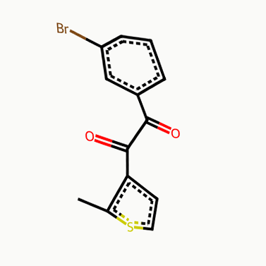 Cc1sccc1C(=O)C(=O)c1cccc(Br)c1